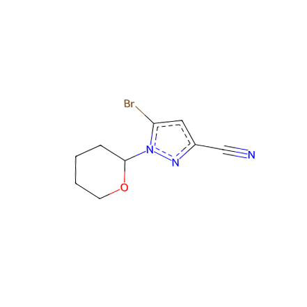 N#Cc1cc(Br)n(C2CCCCO2)n1